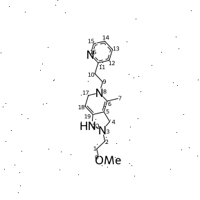 COCCN1CC2=C(C)N(CCc3ccccn3)CC=C2N1